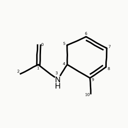 C=C(C)NC1CC=CC=C1C